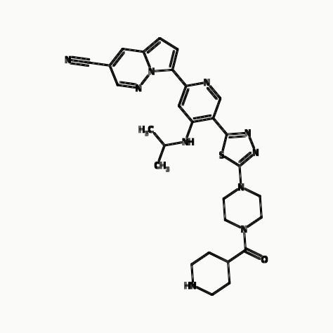 CC(C)Nc1cc(-c2ccc3cc(C#N)cnn23)ncc1-c1nnc(N2CCN(C(=O)C3CCNCC3)CC2)s1